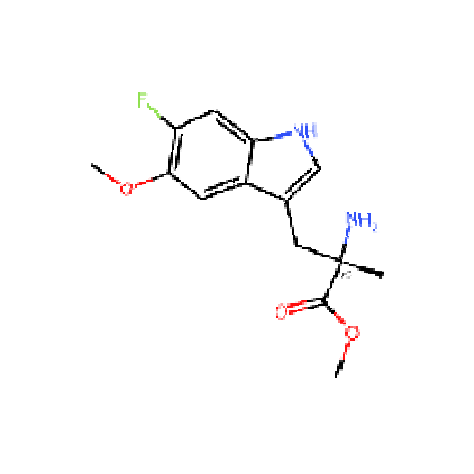 COC(=O)[C@@](C)(N)Cc1c[nH]c2cc(F)c(OC)cc12